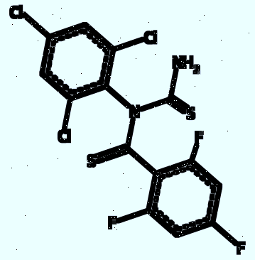 NC(=S)N(C(=S)c1c(F)cc(F)cc1F)c1c(Cl)cc(Cl)cc1Cl